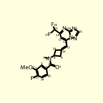 COc1cc(C(=O)N(C)C2CC(=Cc3cc(C(F)F)nc4ncnn34)C2)ccc1F